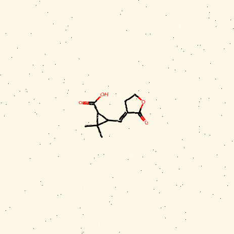 CC1(C)C(C=C2CCOC2=O)C1C(=O)O